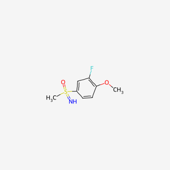 COc1ccc(S(C)(=N)=O)cc1F